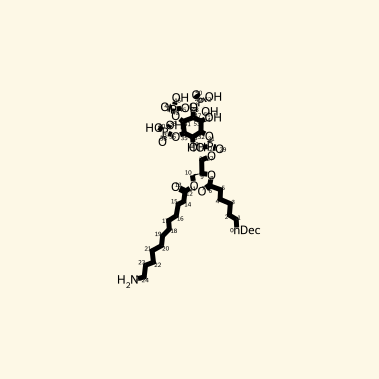 CCCCCCCCCCCCCCCC(=O)O[C@H](COC(=O)CCCCCCCCCCCN)COP(=O)(O)OC1C(O)C(OP(=O)(O)O)C(OP(=O)(O)O)C(OP(=O)(O)O)C1O